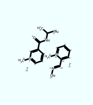 CC(NC(=O)c1ccc[n+](C)c1)C(C)(C)C.C[n+]1ccccc1C=NO.[I-].[I-]